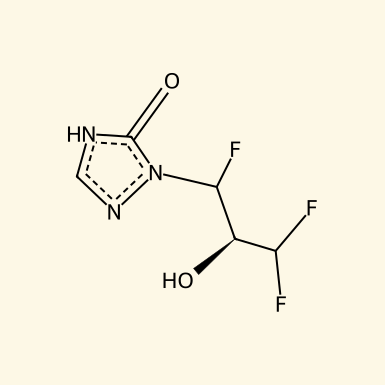 O=c1[nH]cnn1C(F)[C@H](O)C(F)F